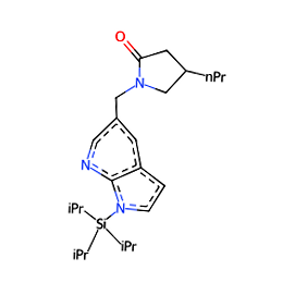 CCCC1CC(=O)N(Cc2cnc3c(ccn3[Si](C(C)C)(C(C)C)C(C)C)c2)C1